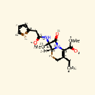 COC(=O)C1=C(COC(C)=O)CS[C@H]2N1C(=O)C2(NC(=O)Cc1cccs1)OC